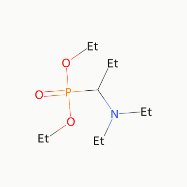 CCOP(=O)(OCC)C(CC)N(CC)CC